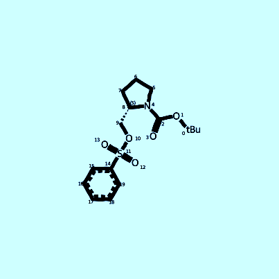 CC(C)(C)OC(=O)N1CCC[C@H]1COS(=O)(=O)c1ccccc1